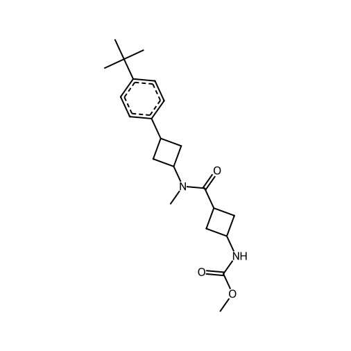 COC(=O)NC1CC(C(=O)N(C)C2CC(c3ccc(C(C)(C)C)cc3)C2)C1